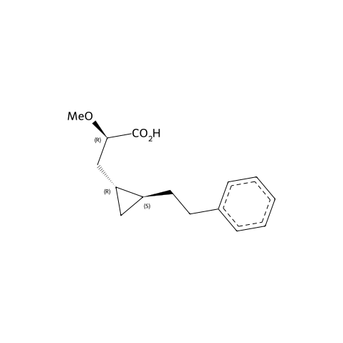 CO[C@H](C[C@H]1C[C@@H]1CCc1ccccc1)C(=O)O